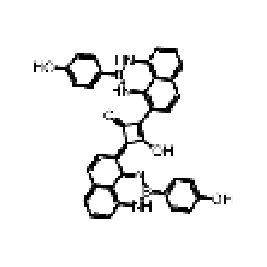 O=C1C(c2ccc3cccc4c3c2NB(c2ccc(O)cc2)N4)=C(O)/C1=c1/ccc2cccc3c2c1=NB(c1ccc(O)cc1)N3